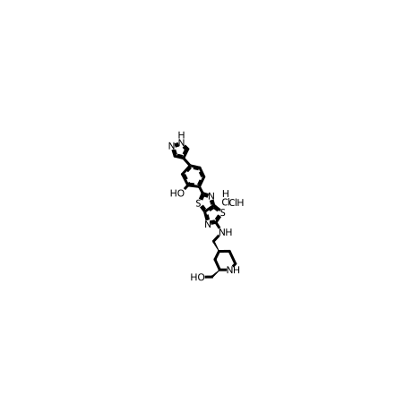 Cl.Cl.OC[C@H]1C[C@@H](CNc2nc3sc(-c4ccc(-c5cn[nH]c5)cc4O)nc3s2)CCN1